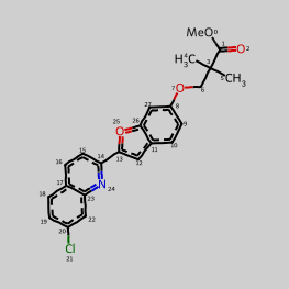 COC(=O)C(C)(C)COc1ccc2cc(-c3ccc4ccc(Cl)cc4n3)oc2c1